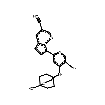 C#Cc1cnn2c(-c3cc(NC45CCC(O)(CC4)CC5)c(C(C)C)cn3)ccc2c1